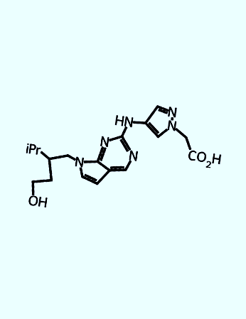 CC(C)C(CCO)Cn1ccc2cnc(Nc3cnn(CC(=O)O)c3)nc21